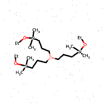 CCO[Si](C)(C)CCCB(CCC[Si](C)(C)OCC)CCC[Si](C)(C)OCC